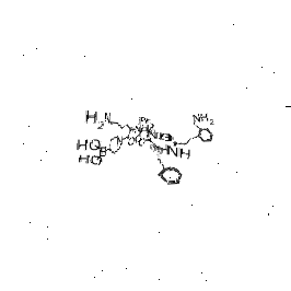 CC(C)C[C@@H](NC(=O)[C@@H](Cc1ccccc1)NC(=O)CCc1ccccc1CN)C(=O)N[C@H](CCCCN)C(=O)N1CCC(B(O)O)CC1